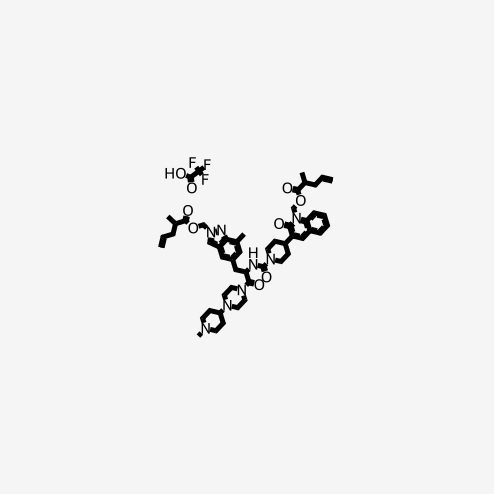 C=CCC(C)C(=O)OCn1cc2cc(CC(NC(=O)N3CCC(c4cc5ccccc5n(COC(=O)C(C)CC=C)c4=O)CC3)C(=O)N3CCN(C4CCN(C)CC4)CC3)cc(C)c2n1.O=C(O)C(F)(F)F